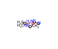 Cc1ccc(C(=O)Nc2cccc(C(C)Oc3cc(-c4cccnc4)cnc3N)c2)cc1C